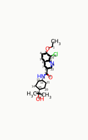 CCOc1ccc2cc(C(=O)N[C@H]3CC[C@H](C(C)(C)O)CC3)cnc2c1Cl